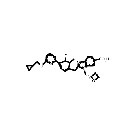 CC1C(Cc2nc3ccc(C(=O)O)cc3n2C[C@@H]2CCO2)=CC=C(c2cccc(OCC3CC3)n2)C1F